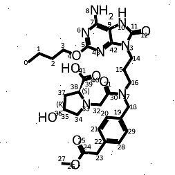 CCCCOc1nc(N)c2[nH]c(=O)n(CCCN(Cc3ccc(CC(=O)OC)cc3)C(=O)CN3C[C@H](O)C[C@H]3C(=O)O)c2n1